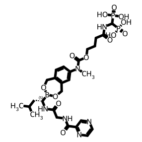 CC(C)C[C@@H](NC(=O)CNC(=O)c1cnccn1)B1OCc2ccc(N(C)C(=O)OCCCC(=O)NC(P(=O)(O)O)P(=O)(O)O)cc2CO1